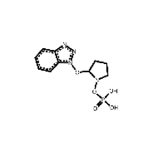 O=P(O)(O)ON1CCCC1On1nnc2ccccc21